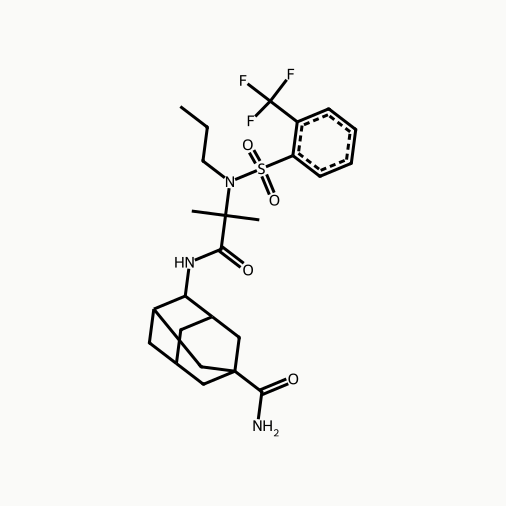 CCCN(C(C)(C)C(=O)NC1C2CC3CC1CC(C(N)=O)(C3)C2)S(=O)(=O)c1ccccc1C(F)(F)F